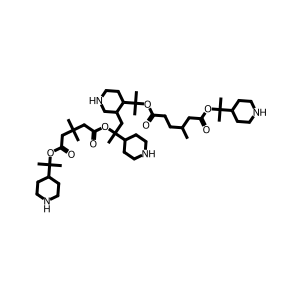 CC(CCC(=O)OC(C)(C)C1CCNCC1CC(C)(OC(=O)CC(C)(C)CC(=O)OC(C)(C)C1CCNCC1)C1CCNCC1)CC(=O)OC(C)(C)C1CCNCC1